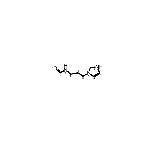 O=CNCCCN1C=CNC1